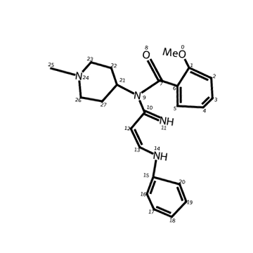 COc1ccccc1C(=O)N(C(=N)/C=C\Nc1ccccc1)C1CCN(C)CC1